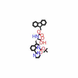 CC(C)(C)OC(=O)n1cc(C[C@H](NC(=O)OCC2c3ccccc3-c3ccccc32)C(=O)O)c2cccc(-c3ncccn3)c21